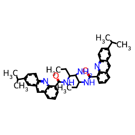 CCC(NC(=O)c1cccc2cc3cc(C(C)C)ccc3nc12)C(N)C(CC)NC(=O)c1cccc2cc3cc(C(C)C)ccc3nc12